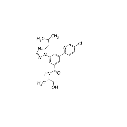 CC(C)Cc1ncnn1-c1cc(C(=O)N[C@@H](C)CO)cc(-c2ccc(Cl)cn2)c1